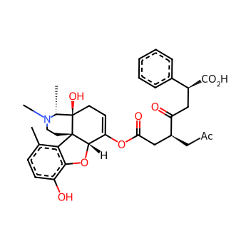 CC(=O)C[C@@H](CC(=O)OC1=CC[C@@]2(O)[C@@H](C)N(C)CC[C@@]23c2c(C)ccc(O)c2O[C@@H]13)C(=O)C[C@H](C(=O)O)c1ccccc1